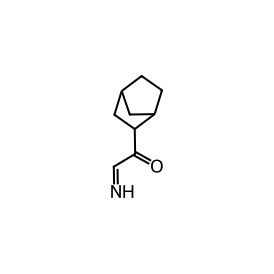 N=CC(=O)C1CC2CCC1C2